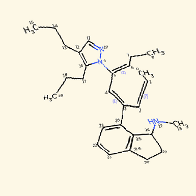 C\C=C/C(=C\C(=C\CC)n1ncc(CCC)c1CCC)c1cccc2c1C(NC)CC2